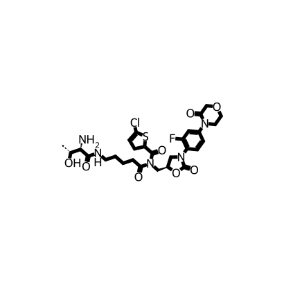 C[C@@H](O)[C@H](N)C(=O)NCCCCC(=O)N(C[C@H]1CN(c2ccc(N3CCOCC3=O)cc2F)C(=O)O1)C(=O)C1CC=C(Cl)S1